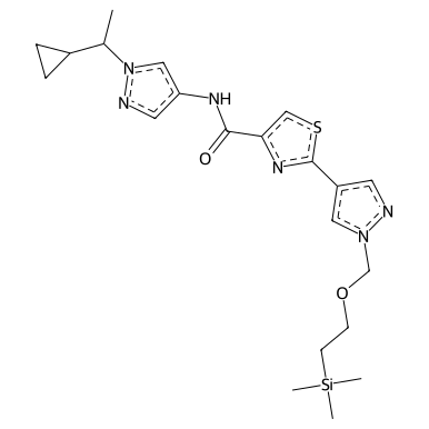 CC(C1CC1)n1cc(NC(=O)c2csc(-c3cnn(COCC[Si](C)(C)C)c3)n2)cn1